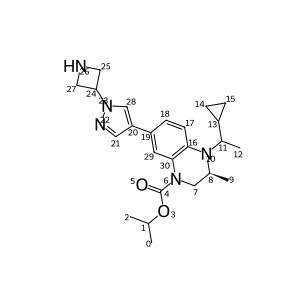 CC(C)OC(=O)N1C[C@H](C)N(C(C)C2CC2)c2ccc(-c3cnn(C4CNC4)c3)cc21